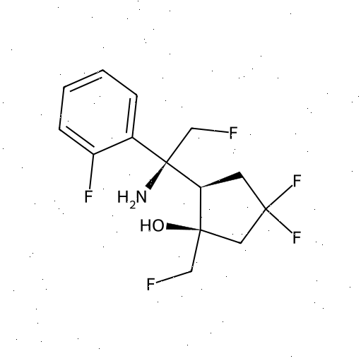 N[C@](CF)(c1ccccc1F)[C@H]1CC(F)(F)C[C@]1(O)CF